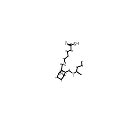 CCCC(C)SCC1C2CCC(O2)C1COCCCCC(=O)O